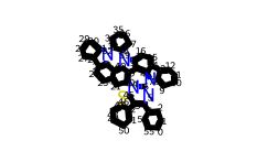 c1ccc(-c2nc(-n3c4ccccc4c4ccc5c(c6ccc7ccc8c9ccccc9n9c%10ccccc%10n5c6c7c89)c43)nc3sc4ccccc4c23)cc1